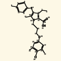 CCc1c(Sc2ccc(C)cc2)c(C)n(CCCOc2cc(C)c(Cl)c(C)c2)c1C(=O)O